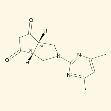 Cc1cc(C)nc(N2C[C@@H]3C(=O)CC(=O)[C@@H]3C2)n1